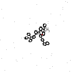 CC1(c2ccccc2)c2ccccc2-c2c(N(c3ccc(-c4ccc(-c5cccc6ccccc56)cc4)cc3)c3cccc(-c4ccc5c(c4)c(-c4ccccc4)c(-c4ccccc4)c4ccccc45)c3)cccc21